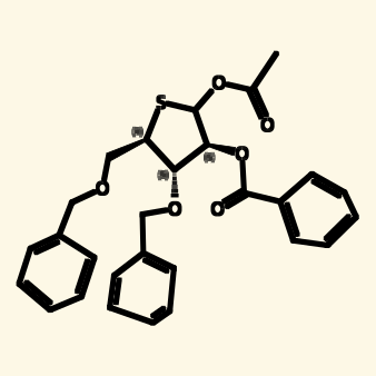 CC(=O)OC1S[C@H](COCc2ccccc2)[C@@H](OCc2ccccc2)[C@@H]1OC(=O)c1ccccc1